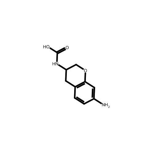 Nc1ccc2c(c1)OCC(NC(=O)O)C2